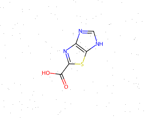 O=C(O)c1nc2nc[nH]c2s1